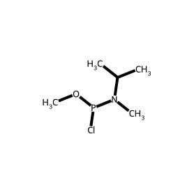 COP(Cl)N(C)C(C)C